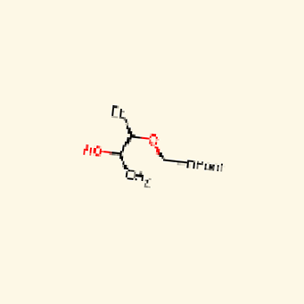 [CH2]C(O)C(CC)OCCCCCC